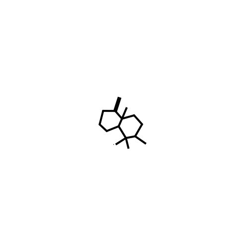 [CH2]C1(C)C(C)CCC2(C)C(=C)CCCC21